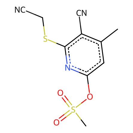 Cc1cc(OS(C)(=O)=O)nc(SCC#N)c1C#N